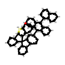 c1ccc2c(c1)-c1ccc(-c3c4ccccc4c(-c4cccc5ccccc45)c4ccccc34)cc1C21c2ccccc2-c2sc3ccccc3c21